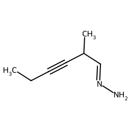 CCC#CC(C)/C=N/N